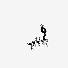 CN(NC(=O)Nc1n[nH]c(=S)s1)C(=O)CCc1ccc(O)cc1